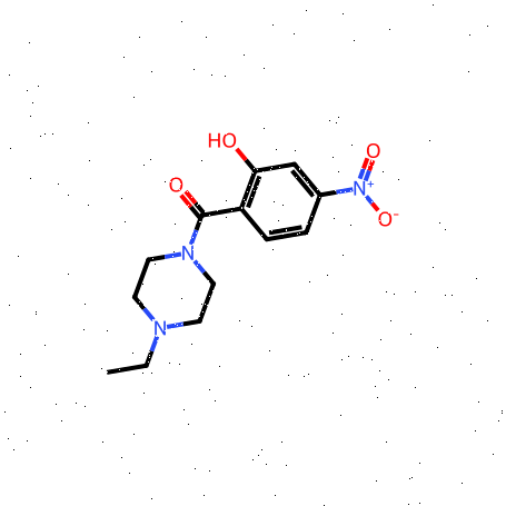 CCN1CCN(C(=O)c2ccc([N+](=O)[O-])cc2O)CC1